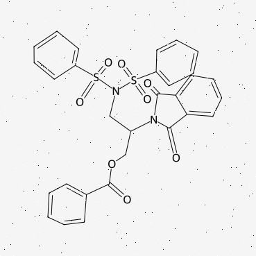 O=C(OCC(CN(S(=O)(=O)c1ccccc1)S(=O)(=O)c1ccccc1)N1C(=O)c2ccccc2C1=O)c1ccccc1